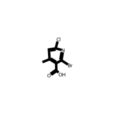 Cc1cc(Cl)nc(Br)c1C(=O)O